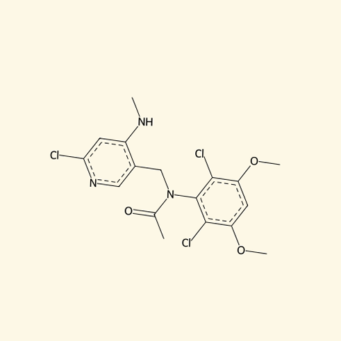 CNc1cc(Cl)ncc1CN(C(C)=O)c1c(Cl)c(OC)cc(OC)c1Cl